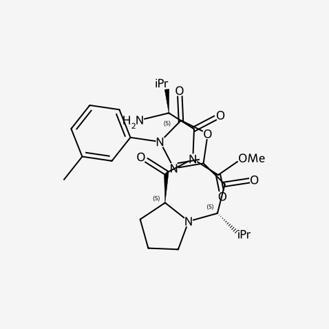 COC(=O)N(C(=O)[C@@H](N)C(C)C)C(=O)[C@@H]1CCCN1[C@H](C(=O)c1nn(-c2cccc(C)c2)c(=O)o1)C(C)C